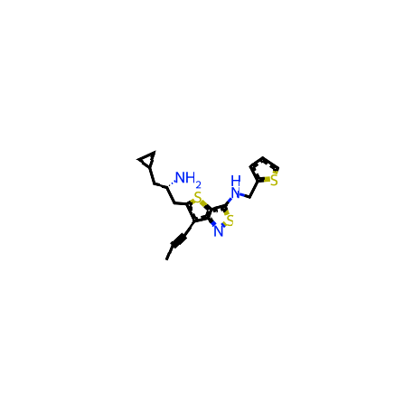 CC#Cc1c(C[C@@H](N)CC2CC2)sc2c(NCc3cccs3)snc12